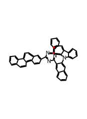 c1ccc(-c2nc(-c3ccc4c(ccc5c6ccccc6ccc45)c3)nc(-c3cc4ccccc4cc3-n3c4ccccc4c4ccccc43)n2)cc1